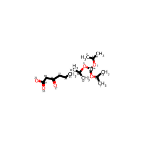 CC(C)[O][Zr+]([O]C(C)C)[O]C(C)C.CCCC(=O)CC(=O)[O-]